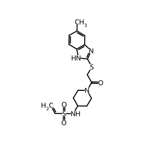 C=CS(=O)(=O)NC1CCN(C(=O)CSc2nc3cc(C)ccc3[nH]2)CC1